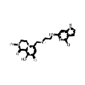 CC(C)N1CCn2c(CNCCNc3cc4[nH]ccc4c(Cl)n3)cc(=O)c(O)c2C1=O